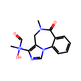 CN1Cc2c([N+](C)(O)C=O)ncn2-c2ccccc2C1=O